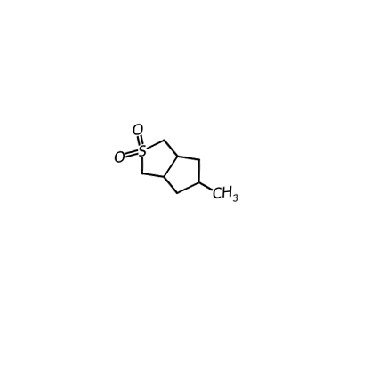 CC1CC2CS(=O)(=O)CC2C1